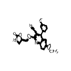 COc1ccc2nc(OCC3CNC(=O)O3)c(C#N)c(-c3cccc(F)c3)c2c1